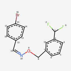 FC(F)c1cccc(CO/N=[C]\c2ccc(Br)cc2)c1